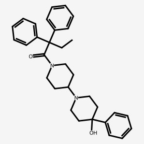 CCC(C(=O)N1CCC(N2CCC(O)(c3ccccc3)CC2)CC1)(c1ccccc1)c1ccccc1